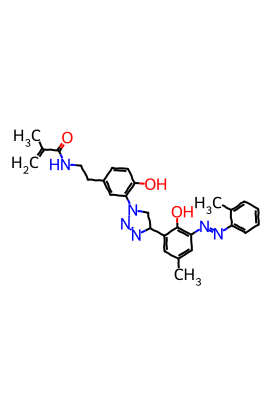 C=C(C)C(=O)NCCc1ccc(O)c(N2CC(c3cc(C)cc(N=Nc4ccccc4C)c3O)N=N2)c1